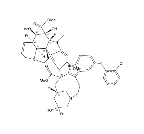 CC[C@]1(O)C[C@H]2CN(CCc3c([nH]c4ccc(Sc5ccccc5Cl)cc34)[C@@](C(=O)OC)(C3C=C4C(=CC3OC)N(C)[C@H]3[C@@](O)(C(=O)OC)[C@H](OC(C)=O)[C@]5(CC)C=CCN6CC[C@]43[C@@H]65)C2)C1